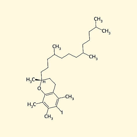 Cc1c(C)c2c(c(C)c1I)CC[C@@](C)(CCCC(C)CCCC(C)CCCC(C)C)O2